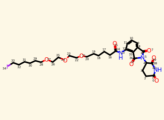 O=C1CCC(N2C(=O)c3cccc(NC(=O)CCCCCOCCOCCOCCCCCCI)c3C2=O)C(=O)N1